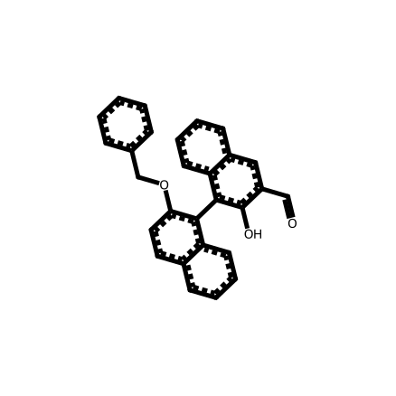 O=Cc1cc2ccccc2c(-c2c(OCc3ccccc3)ccc3ccccc23)c1O